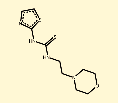 S=C(NCCN1CCOCC1)Nc1nccs1